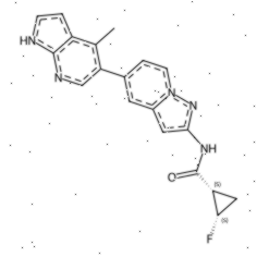 Cc1c(-c2ccn3nc(NC(=O)[C@@H]4C[C@@H]4F)cc3c2)cnc2[nH]ccc12